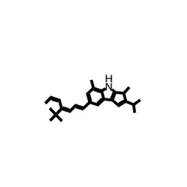 C\C=C/C(=C\C=C\c1cc(C)c2[nH]c3c(c2c1)C=C(C(C)C)C3C)C(C)(C)C